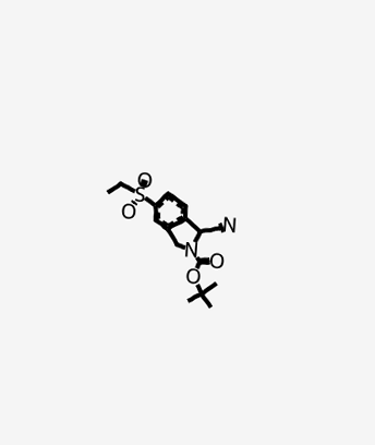 CCS(=O)(=O)c1ccc2c(c1)CN(C(=O)OC(C)(C)C)C2C#N